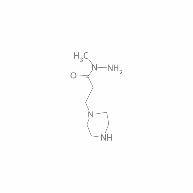 CN(N)C(=O)CCN1CCNCC1